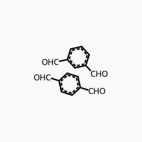 O=Cc1ccc(C=O)cc1.O=Cc1cccc(C=O)c1